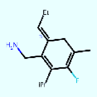 CC/C=C1\CC(C)=C(F)C(C(C)C)=C1CN